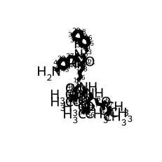 CC(C)(C)OC(=O)CC[C@H](NC(=O)N[C@@H](CCCCNC(=O)[C@H](Cc1ccc2ccccc2c1)NC(=O)Cc1ccc(N)cc1)C(=O)OC(C)(C)C)C(=O)OC(C)(C)C